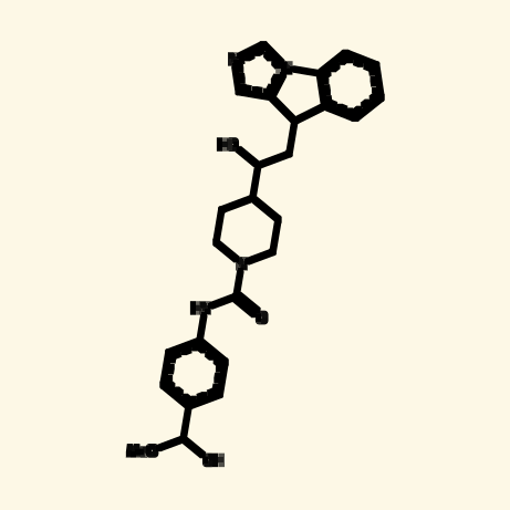 COC(O)c1ccc(NC(=O)N2CCC(C(O)CC3c4ccccc4-n4cncc43)CC2)cc1